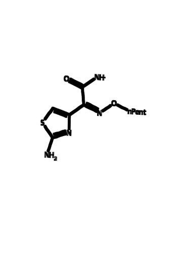 CCCCCO/N=C(\C([NH])=O)c1csc(N)n1